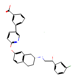 Cl.O=C(O)c1cccc(-c2ccc(Oc3ccc4c(c3)C[C@@H](NC[C@@H](O)c3cccc(Cl)c3)CC4)nc2)c1